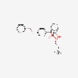 C[SiH](C)CCOC(=O)C1C2CCC1C(O)(c1ccc(OCc3ccccc3)cc1)C2O